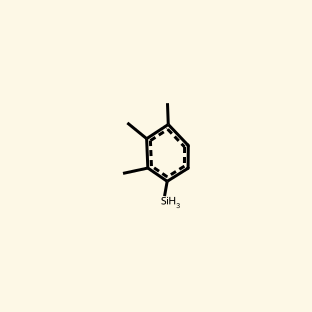 Cc1ccc([SiH3])c(C)c1C